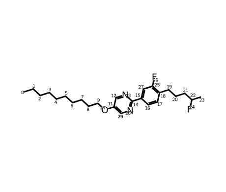 CCCCCCCCCCOc1cnc(-c2ccc(CCCC(C)F)c(F)c2)nc1